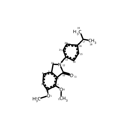 COc1ccc2c(c1OC)C(=O)N(c1ccc(C(C)C)cc1)C2